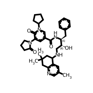 Cc1cnc2c(c1)C(NC[C@@H](O)[C@H](Cc1ccccc1)NC(=O)c1cc(N3CCCC3=O)c(=O)n(C3CCCC3)c1)CC(C)(C)C2